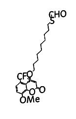 COc1ccc(C(F)(F)F)c2c(OCCCCCCCCCCSC=O)cc(=O)oc12